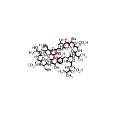 CC[C@H](C)[C@H](NC(=O)[C@H](CC(=O)O)NC(=O)[C@@H](NC(=O)[C@H](Cc1ccccc1)NC(=O)[C@H](CC(=O)O)NC(=O)[C@H](C)N)[C@@H](C)O)C(=O)N[C@@H](CO)C(=O)N[C@@H](CCCCN)C(=O)N[C@H](C(=O)N[C@H](C(=O)N[C@H](C(=O)N[C@@H](CC(=O)O)C(=O)N[C@@H](CC(C)C)C(=O)N[C@H](C(=O)N[C@@H](CCCCN)C(=O)O)[C@@H](C)O)[C@@H](C)O)C(C)C)[C@@H](C)CC